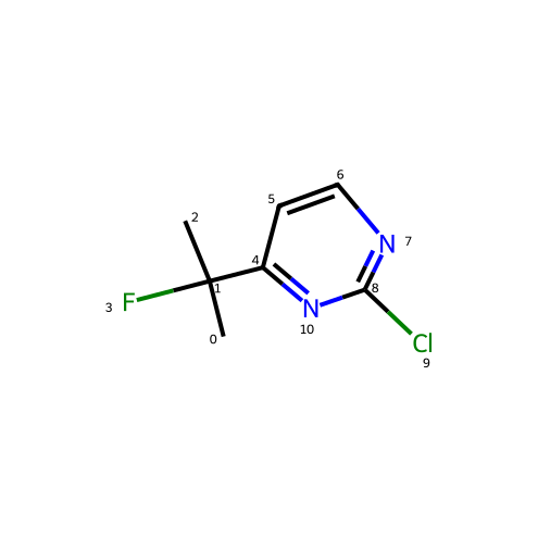 CC(C)(F)c1ccnc(Cl)n1